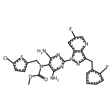 COC(=O)N(Cc1ccc(Cl)s1)c1c(N)nc(-n2nc(Cc3ccccc3F)c3ncc(F)cc32)nc1N